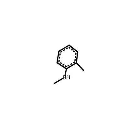 CBc1ccccc1C